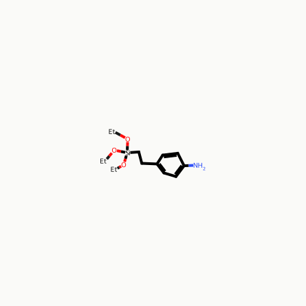 CCO[Si](CCc1ccc(N)cc1)(OCC)OCC